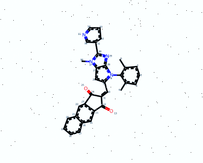 Cc1cccc(C)c1-n1c(C=C2C(=O)c3cc4ccccc4cc3C2=O)cc2c1nc(-c1cccnc1)n2C